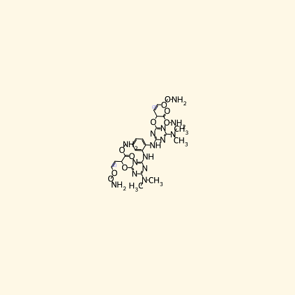 CN(C)c1nc(Nc2ccccc2Nc2nc(OC(/C=C\OON)C(=O)ON)nc(N(C)C)n2)nc(OC(/C=C\OON)C(=O)ON)n1